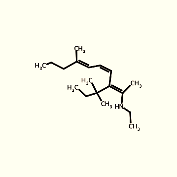 CCC/C(C)=C/C=C\C(=C(/C)NCC)C(C)(C)CC